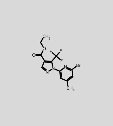 CCOC(=O)c1cnn(-c2cc(C)cc(Br)n2)c1C(F)(F)F